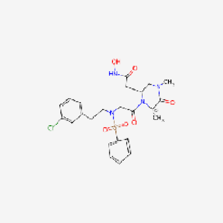 C[C@H]1C(=O)N(C)CC(CC(=O)NO)N1C(=O)CN(CCc1cccc(Cl)c1)S(=O)(=O)c1ccccc1